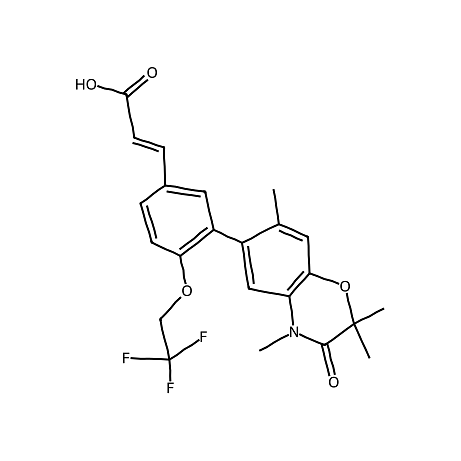 Cc1cc2c(cc1-c1cc(/C=C/C(=O)O)ccc1OCC(F)(F)F)N(C)C(=O)C(C)(C)O2